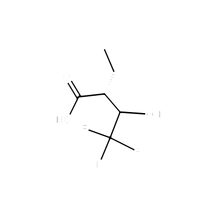 CC[C@@H](C(=O)O)C(O)C(F)(F)F